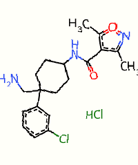 Cc1noc(C)c1C(=O)NC1CCC(CN)(c2cccc(Cl)c2)CC1.Cl